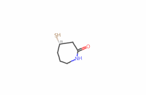 O=C1C[C@@H](S)CCCN1